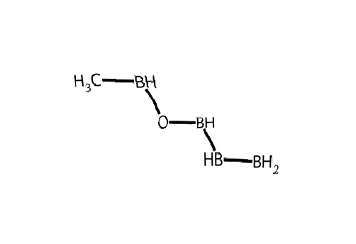 BBBOBC